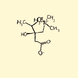 CC(C)[C@@](O)(CC(=O)[O-])C[N+](C)(C)C